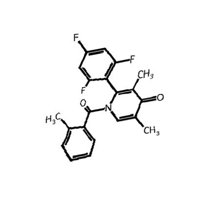 Cc1ccccc1C(=O)n1cc(C)c(=O)c(C)c1-c1c(F)cc(F)cc1F